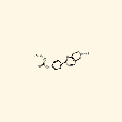 CCCCCOC(=O)Oc1ccc(-c2ncc3c(n2)CCC(CC)C3)cc1